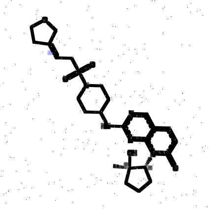 C[C@@]1(O)CCC[C@H]1n1c(=O)ccc2cnc(NC3CCN(S(=O)(=O)C/C=C4/CCOC4)CC3)nc21